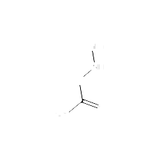 CCCCNOC(=O)CCC